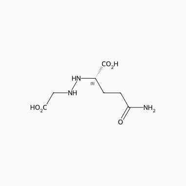 NC(=O)CC[C@H](NNCC(=O)O)C(=O)O